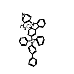 CC12C=CC([Si](c3ccccc3)(c3ccccc3)c3ccc(-c4ccccc4)cc3)=CC1c1ccccc1N2c1ccncc1